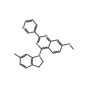 COc1ccc2c(N3CCc4ccc(C)cc43)nc(-c3cccnc3)nc2c1